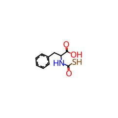 O=C(S)NC(Cc1ccccc1)C(=O)O